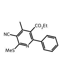 CCOC(=O)c1c(-c2ccccc2)nc(SC)c(C#N)c1C